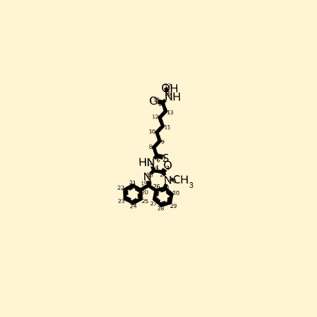 CN1C(=O)C(NC(=S)CCCCCCC(=O)NO)N=C(c2ccccc2)c2ccccc21